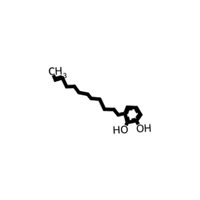 CC=CCCCCCCCCCc1cccc(O)c1O